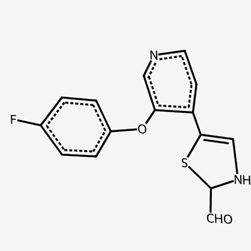 O=CC1NC=C(c2ccncc2Oc2ccc(F)cc2)S1